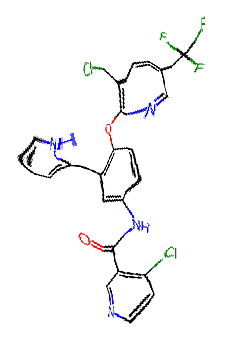 O=C(Nc1ccc(Oc2ncc(C(F)(F)F)cc2Cl)c(-c2ccc[nH]2)c1)c1cnccc1Cl